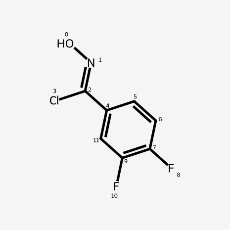 O/N=C(\Cl)c1ccc(F)c(F)c1